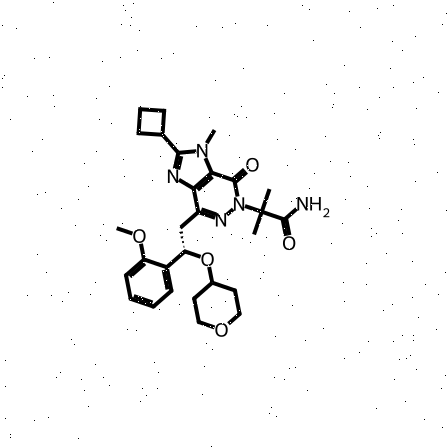 COc1ccccc1[C@H](Cc1nn(C(C)(C)C(N)=O)c(=O)c2c1nc(C1CCC1)n2C)OC1CCOCC1